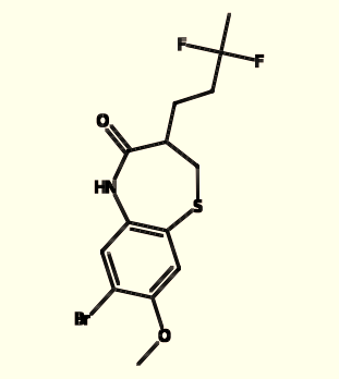 COc1cc2c(cc1Br)NC(=O)C(CCC(C)(F)F)CS2